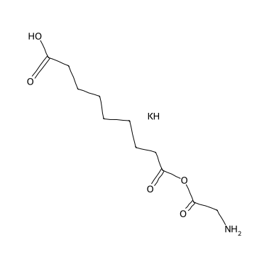 NCC(=O)OC(=O)CCCCCCCC(=O)O.[KH]